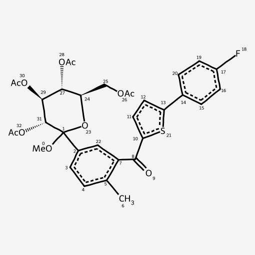 COC1(c2ccc(C)c(C(=O)c3ccc(-c4ccc(F)cc4)s3)c2)O[C@H](COC(C)=O)[C@@H](OC(C)=O)[C@H](OC(C)=O)[C@H]1OC(C)=O